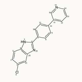 Clc1ccc2[nH]c(-c3ccc(-c4cccnc4)cc3)nc2c1